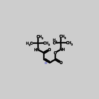 CC(C)(C)NOC(=O)/C=C\C(=O)NC(C)(C)C